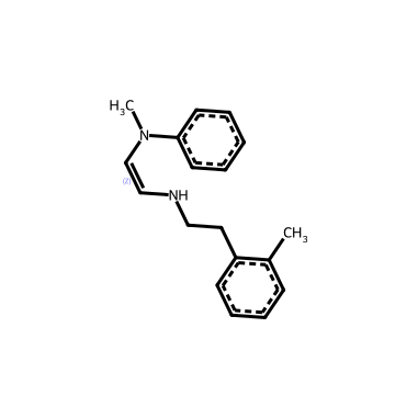 Cc1ccccc1CCN/C=C\N(C)c1ccccc1